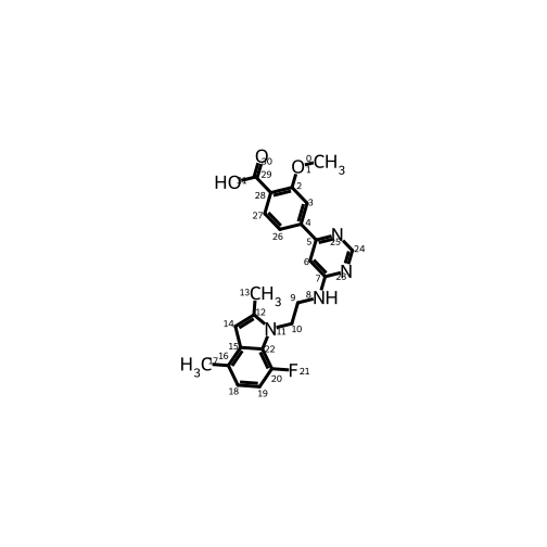 COc1cc(-c2cc(NCCn3c(C)cc4c(C)ccc(F)c43)ncn2)ccc1C(=O)O